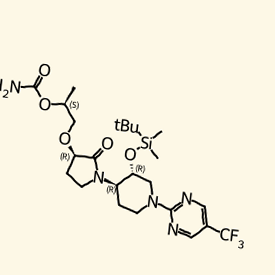 C[C@@H](CO[C@@H]1CCN([C@@H]2CCN(c3ncc(C(F)(F)F)cn3)C[C@H]2O[Si](C)(C)C(C)(C)C)C1=O)OC(N)=O